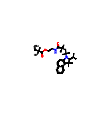 CC(C)=C1N(C(C)(C)CC(C)(C)C(=O)NCCOC(=O)C(C)(CC(C)(C)C)C(C)C)c2ccc3ccccc3c2C1(C)C